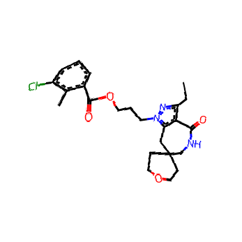 CCc1nn(CCCOC(=O)c2cccc(Cl)c2C)c2c1C(=O)NCC1(CCOCC1)C2